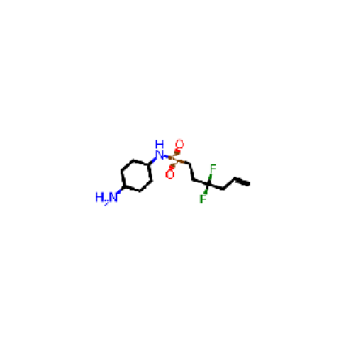 C=CCC(F)(F)CCS(=O)(=O)NC1CCC(N)CC1